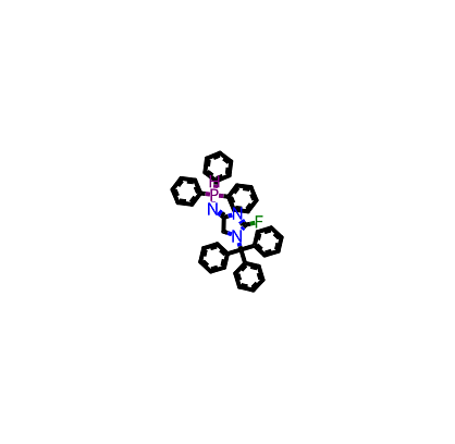 FC1=NC(=N[PH](c2ccccc2)(c2ccccc2)c2ccccc2)CN1C(c1ccccc1)(c1ccccc1)c1ccccc1